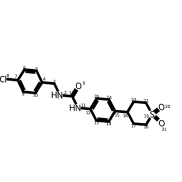 O=C(NCc1ccc(Cl)cc1)Nc1ccc(C2CCS(=O)(=O)CC2)cc1